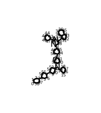 c1ccc(-c2ccc(-c3ccc(N(c4ccccc4)c4ccc(-c5ccc(-c6cc(-c7cccc8ccccc78)nc(-c7ccccc7)n6)cc5)cc4)cc3)cc2)cc1